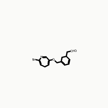 O=CCC1C=CC=C(COC2=CCC=C(Br)N=C2)C1